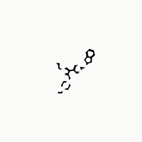 CCN1CCN(Cc2nn(CC(=O)O)cc2-c2cnc(NC3Cc4ccccc4C3)nc2)CC1